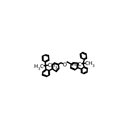 CC(C)(c1ccccc1)c1ccccc1-c1ccc(COCc2ccc(-c3ccccc3C(C)(C)c3ccccc3)cc2)cc1